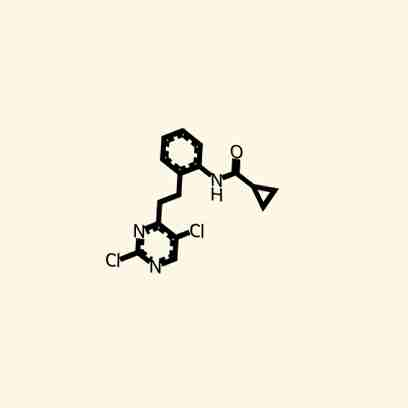 O=C(Nc1ccccc1CCc1nc(Cl)ncc1Cl)C1CC1